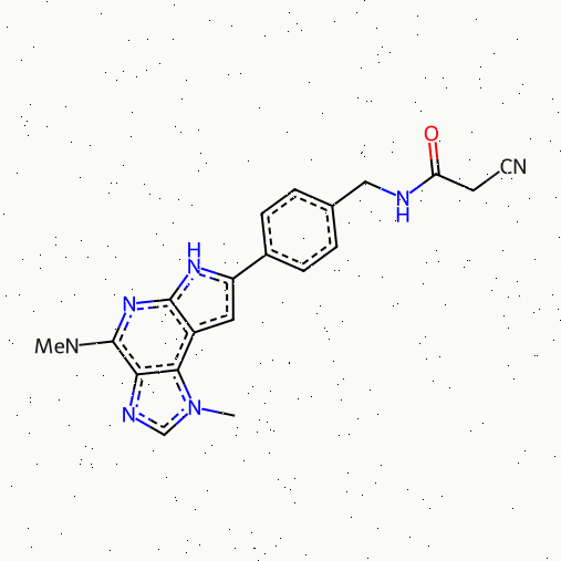 CNc1nc2[nH]c(-c3ccc(CNC(=O)CC#N)cc3)cc2c2c1ncn2C